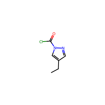 CCc1cnn(C(=O)Cl)c1